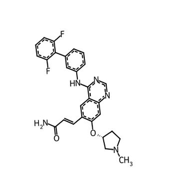 CN1CC[C@@H](Oc2cc3ncnc(Nc4cccc(-c5c(F)cccc5F)c4)c3cc2C=CC(N)=O)C1